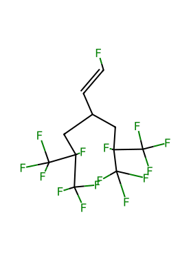 F/C=C/C(CC(F)(C(F)(F)F)C(F)(F)F)CC(F)(C(F)(F)F)C(F)(F)F